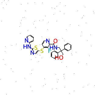 O=C(NCC(CO)(c1ccccc1)c1ccccc1)c1nccc(Sc2cnc(Nc3ccccn3)s2)c1F